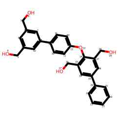 OCc1cc(CO)cc(-c2ccc(Oc3c(CO)cc(-c4ccccc4)cc3CO)cc2)c1